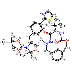 COC(=O)N[C@H](C(=O)NN(Cc1ccccc1)C[C@@H]1OC(C)(C)N(C(=O)OC(C)(C)C)[C@H]1Cc1ccc(-c2nccs2)cc1)C(C)(C)C